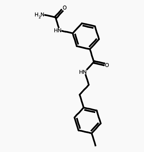 Cc1ccc(CCNC(=O)c2cccc(NC(N)=O)c2)cc1